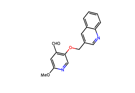 COc1cc(C=O)c(OCc2cnc3ccccc3c2)cn1